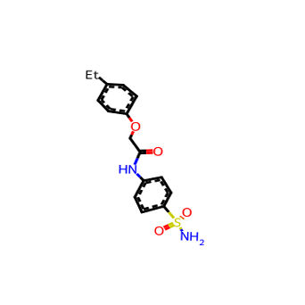 CCc1ccc(OCC(=O)Nc2ccc(S(N)(=O)=O)cc2)cc1